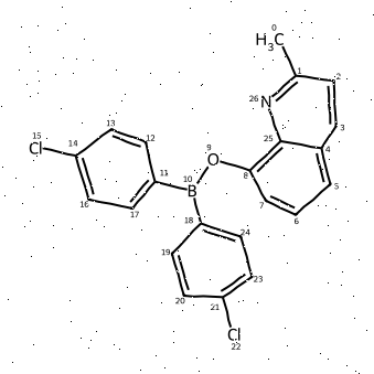 Cc1ccc2cccc(OB(c3ccc(Cl)cc3)c3ccc(Cl)cc3)c2n1